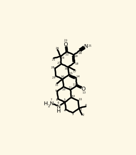 CC1(C)CCC2(NN)CCC3C(C(=O)C=C4C5(C)C=C(C#N)C(=O)C(C)(C)C5CCC43C)C2C1